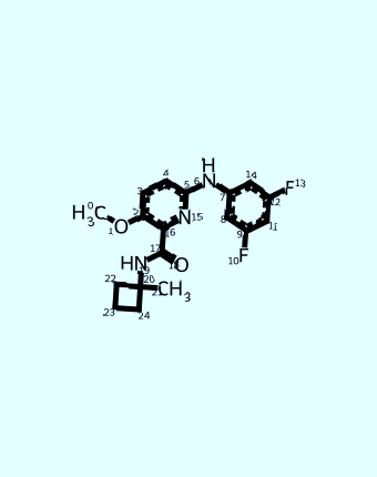 COc1ccc(Nc2cc(F)cc(F)c2)nc1C(=O)NC1(C)CCC1